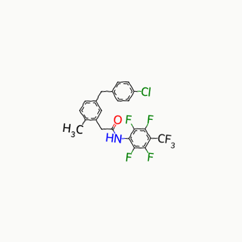 Cc1ccc(Cc2ccc(Cl)cc2)cc1CC(=O)Nc1c(F)c(F)c(C(F)(F)F)c(F)c1F